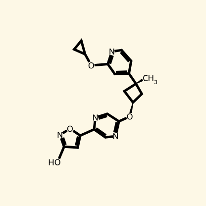 C[C@]1(c2ccnc(OC3CC3)c2)C[C@H](Oc2cnc(-c3cc(O)no3)cn2)C1